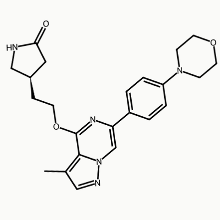 Cc1cnn2cc(-c3ccc(N4CCOCC4)cc3)nc(OCC[C@H]3CNC(=O)C3)c12